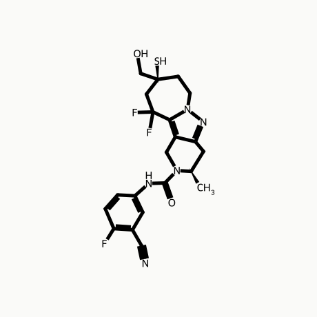 C[C@@H]1Cc2nn3c(c2CN1C(=O)Nc1ccc(F)c(C#N)c1)C(F)(F)C[C@](S)(CO)CC3